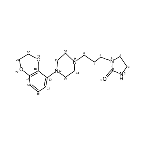 O=C1NCCN1CCCN1CCN(c2cccc3c2OCCO3)CC1